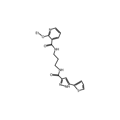 CCOc1ncccc1C(=O)NCCCNC(=O)c1cc(-c2cccs2)[nH]n1